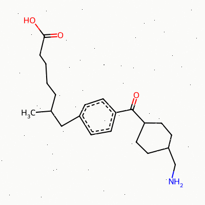 CC(CCCCC(=O)O)Cc1ccc(C(=O)C2CCC(CN)CC2)cc1